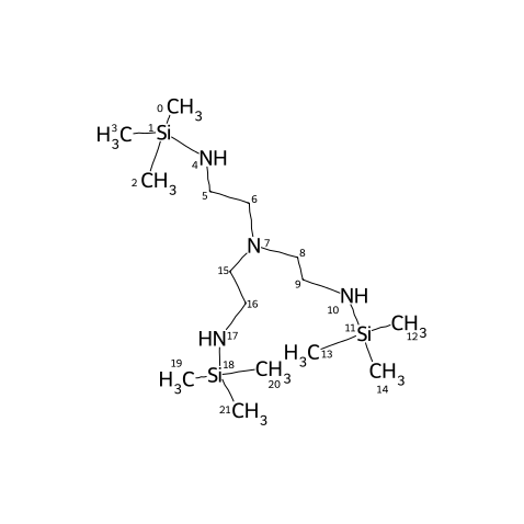 C[Si](C)(C)NCCN(CCN[Si](C)(C)C)CCN[Si](C)(C)C